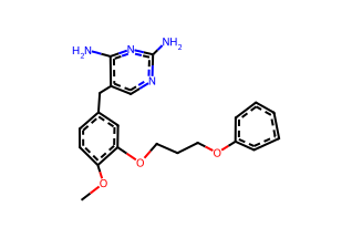 COc1ccc(Cc2cnc(N)nc2N)cc1OCCCOc1ccccc1